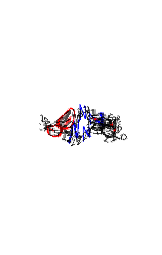 Cc1ccc(CC2CN3CCN(CC(=O)OC(C)(C)C)CCN(CCN(CC(C)(C)C)CC3)C2)cc1